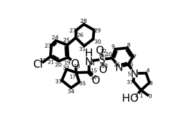 CC1(O)CCN(c2cccc(S(=O)(=O)NC(=O)C3(Oc4cc(Cl)ccc4C4CCCCC4)CCCC3)n2)C1